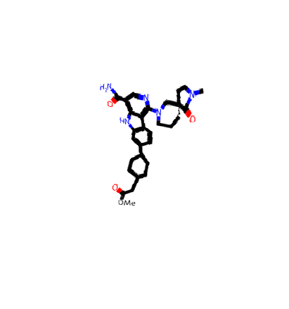 COC(=O)CC1CCC(c2ccc3c(c2)[nH]c2c(C(N)=O)cnc(N4CCC[C@@]5(CCN(C)C5=O)C4)c23)CC1